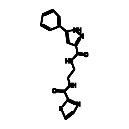 O=C(NCCNC(=O)c1nccs1)c1cc(-c2ccccc2)[nH]n1